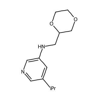 CC(C)c1cncc(NCC2COCCO2)c1